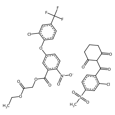 CCOC(=O)COC(=O)c1cc(Oc2ccc(C(F)(F)F)cc2Cl)ccc1[N+](=O)[O-].CS(=O)(=O)c1ccc(C(=O)C2C(=O)CCCC2=O)c(Cl)c1